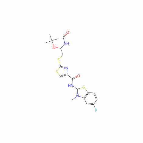 CN1c2cc(F)ccc2SC1NC(=O)c1csc(SCC(NC=O)OC(C)(C)C)n1